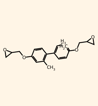 C=C(/C=C\C(=C/C)c1ccc(OCC2CO2)cc1C)OCC1CO1